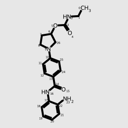 CCNC(=O)OC1CCN(c2ccc(C(=O)Nc3ccccc3N)cc2)C1